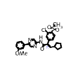 COc1cccc(-c2cnc(NC(=O)/C(=C/C3CCCC3)c3ccc(S(C)(=O)=O)c(Cl)c3)cn2)c1